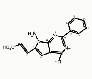 Bn1c(/C=C/C(=O)O)cc2c(Cl)nc(-c3ccccc3)nc21